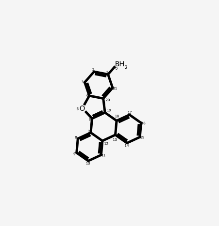 Bc1ccc2oc3c4ccccc4c4ccccc4c3c2c1